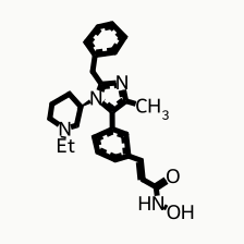 CCN1CCC[C@@H](n2c(Cc3ccccc3)nc(C)c2-c2cccc(C=CC(=O)NO)c2)C1